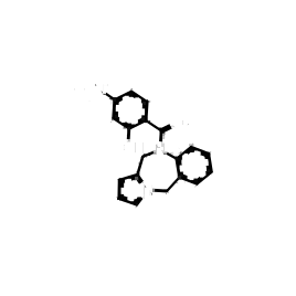 Cc1cc([N+](=O)[O-])ccc1C(=O)N1Cc2cccn2Cc2ccccc21